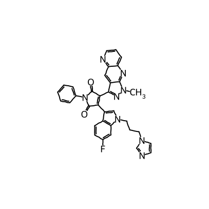 Cn1nc(C2=C(c3cn(CCCn4ccnc4)c4cc(F)ccc34)C(=O)N(c3ccccc3)C2=O)c2cc3ncccc3nc21